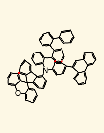 c1ccc(-c2ccccc2-c2ccccc2-c2ccccc2N(c2ccc(-c3cc4ccccc4c4ccccc34)cc2)c2cccc3c2-c2ccccc2C32c3ccccc3Oc3ccccc32)cc1